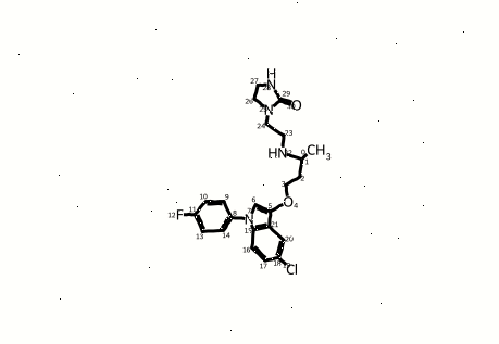 CC(CCOc1cn(-c2ccc(F)cc2)c2ccc(Cl)cc12)NCCN1CCNC1=O